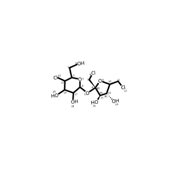 OCC1OC(O[C@]2(CCl)OC(CCl)[C@H](O)[C@H]2O)C(O)C(O)C1Cl